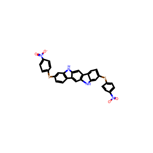 O=[N+]([O-])c1ccc(Sc2ccc3c(c2)[nH]c2cc4c(cc23)[nH]c2cc(Sc3ccc([N+](=O)[O-])cc3)ccc24)cc1